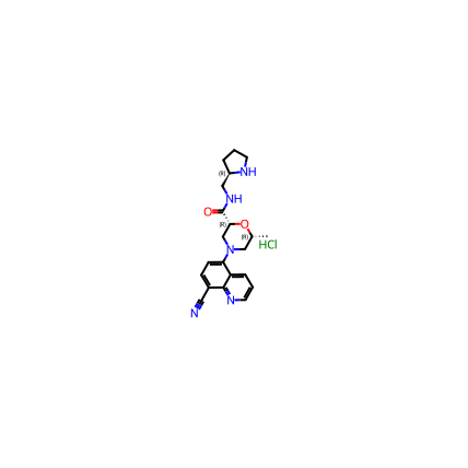 C[C@@H]1CN(c2ccc(C#N)c3ncccc23)C[C@H](C(=O)NC[C@H]2CCCN2)O1.Cl